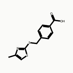 Cc1[c]sc(SCc2ccc(C(=O)O)cc2)n1